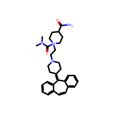 CN(C)C(=O)[N+]1(CCN2CCC(=C3c4ccccc4C=Cc4ccccc43)CC2)CCC(C(N)=O)CC1